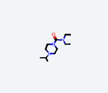 CCN(CC)C(=O)N1CCN(C(C)C)CC1